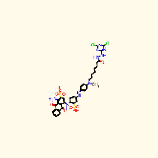 CN(CCCCCCCC(=O)NNc1nc(Cl)nc(Cl)n1)c1ccc(/N=N/c2ccc(Nc3cc(S(=O)(=O)O)c(N)c4c3C(=O)c3ccccc3C4=O)c(S(=O)(=O)O)c2)cc1